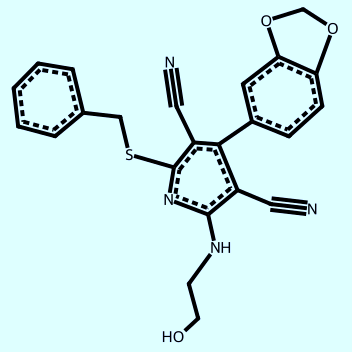 N#Cc1c(NCCO)nc(SCc2ccccc2)c(C#N)c1-c1ccc2c(c1)OCO2